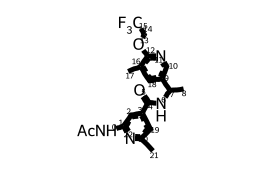 CC(=O)Nc1cc(C(=O)NC(C)c2cnc(OCC(F)(F)F)c(C)c2)cc(C)n1